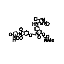 CNC(=O)COc1cc2cc(Nc3nc(N4CCCC4)ncc3Cl)ccc2n(CCOc2ccc3c(c2)C(=O)N(C2CCC(=O)NC2=O)C3=O)c1=O